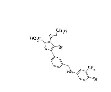 O=C(O)COc1c(C(=O)O)sc(-c2cccc(CNc3ccc(Br)c(C(F)(F)F)c3)c2)c1Br